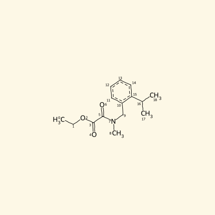 CCOC(=O)C(=O)N(C)Cc1ccccc1C(C)C